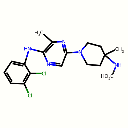 Cc1nc(N2CCC(C)(NC(=O)O)CC2)cnc1Nc1cccc(Cl)c1Cl